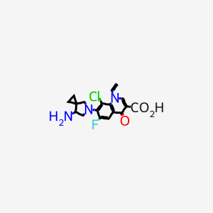 C=Cn1cc(C(=O)O)c(=O)c2cc(F)c(N3CC(N)C4(CC4)C3)c(Cl)c21